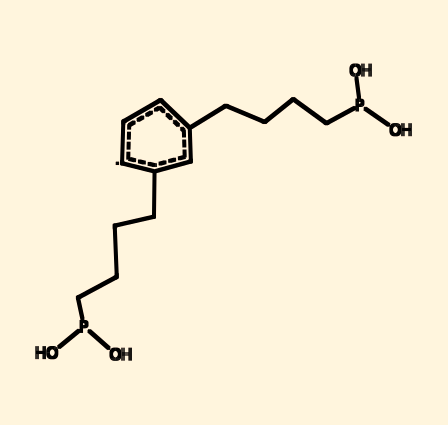 OP(O)CCCCc1[c]ccc(CCCCP(O)O)c1